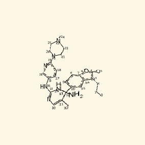 CCCn1c(=O)oc2ccc(C3(N)NC(Nc4ccc(N5CCN(C)CC5)nc4)=NC=C3C)cc21